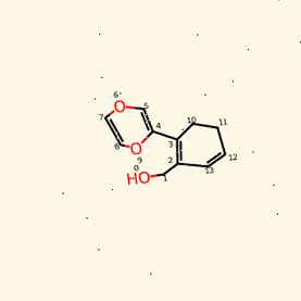 OCC1=C(C2=COC=CO2)CCC=C1